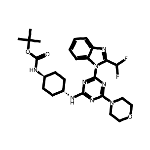 CC(C)(C)OC(=O)N[C@H]1CC[C@H](Nc2nc(N3CCOCC3)nc(-n3c(C(F)F)nc4ccccc43)n2)CC1